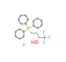 O[C@H](CC[P+](c1ccccc1)(c1ccccc1)c1ccccc1)C(F)(F)F.[I-]